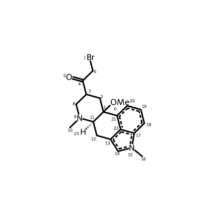 COC12CC(C(=O)CBr)CN(C)[C@@H]1Cc1cn(C)c3cccc2c13